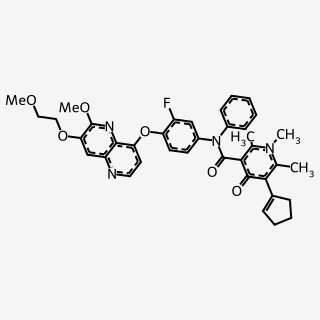 COCCOc1cc2nccc(Oc3ccc(N(C(=O)c4c(C)n(C)c(C)c(C5=CCCC5)c4=O)c4ccccc4)cc3F)c2nc1OC